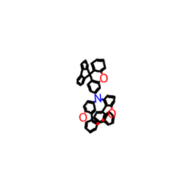 c1ccc(-c2cccc3oc4ccc(N(c5ccc6c(c5)Oc5ccccc5C65c6ccccc6-c6ccccc65)c5cccc6oc7ccccc7c56)cc4c23)cc1